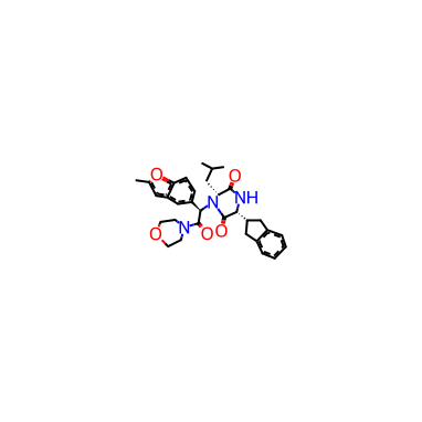 Cc1cc2cc([C@H](C(=O)N3CCOCC3)N3C(=O)[C@@H](C4Cc5ccccc5C4)NC(=O)[C@H]3CC(C)C)ccc2o1